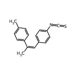 CC(=Cc1ccc(N=C=S)cc1)c1ccc(C)cc1